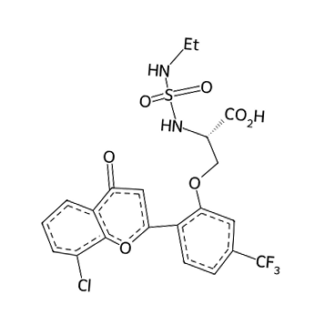 CCNS(=O)(=O)N[C@@H](COc1cc(C(F)(F)F)ccc1-c1cc(=O)c2cccc(Cl)c2o1)C(=O)O